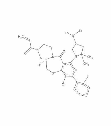 C=CC(=O)N1CCN2C(=O)c3c(N4CC(N(CC)CC)CC4(C)C)nc(-c4ccccc4F)c(Cl)c3OC[C@H]2C1